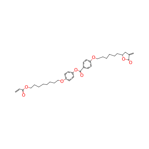 C=CC(=O)OCCCCCCCCOc1ccc(OC(=O)c2ccc(OCCCCCCC3CC(=C)C(=O)O3)cc2)cc1